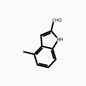 O=Cc1cc2c(I)cccc2[nH]1